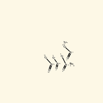 B.O=N[O-].O=N[O-].O=N[O-].O=N[O-].[Ti+4]